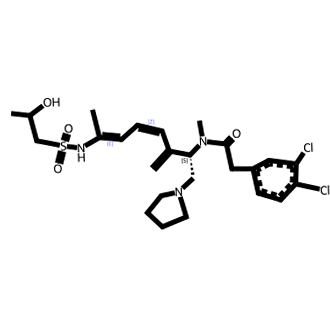 C=C(/C=C\C=C(/C)NS(=O)(=O)CC(C)O)[C@@H](CN1CCCC1)N(C)C(=O)Cc1ccc(Cl)c(Cl)c1